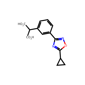 O=C(O)C(C(=O)O)c1cccc(-c2noc(C3CC3)n2)c1